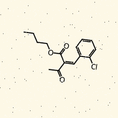 CCCCOC(=O)C(=Cc1ccccc1Cl)C(C)=O